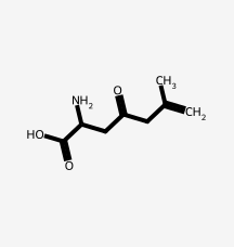 C=C(C)CC(=O)CC(N)C(=O)O